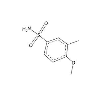 COc1ccc(S(N)(=O)=O)cc1C